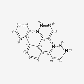 c1ccc(-c2nccc(-c3ccnnn3)c2-c2ccnnn2)nc1